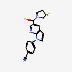 N#Cc1ccc(-n2ccc3cc(C(=O)N4CC[C@@H](F)C4)cnc32)cc1